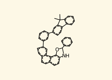 CC1(C)c2ccccc2-c2ccc(-c3cccc(-c4ccc5ccc6ccc7c(c6c5c4)OC(c4ccccc4)N7)c3)cc21